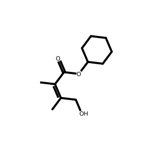 CC(CO)=C(C)C(=O)OC1CCCCC1